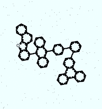 c1ccc(-c2ccc3c4ccccc4c4ccccc4c3c2)c(-c2ccc(-c3c4ccccc4c(-c4cccc5oc6c7ccccc7ccc6c45)c4ccccc34)cc2)c1